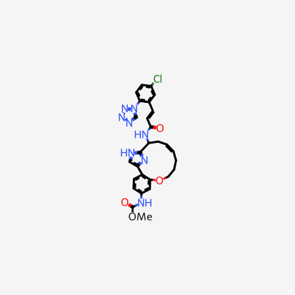 COC(=O)Nc1ccc2c(c1)OCCCC=CCC(NC(=O)C=Cc1cc(Cl)ccc1-n1cnnn1)c1nc-2c[nH]1